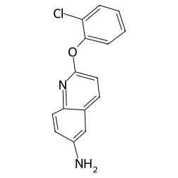 Nc1ccc2nc(Oc3ccccc3Cl)ccc2c1